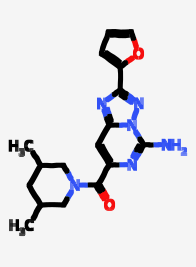 CC1CC(C)CN(C(=O)c2cc3nc(-c4ccco4)nn3c(N)n2)C1